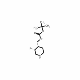 CC(C)(C)OC(=O)NC[C@@H]1CCNC[C@@H]1F